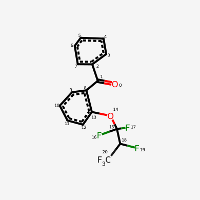 O=C(c1ccccc1)c1ccccc1OC(F)(F)C(F)C(F)(F)F